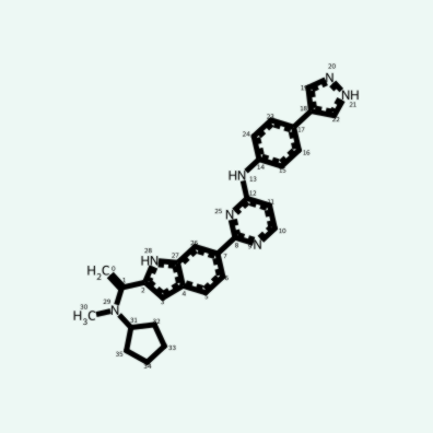 C=C(c1cc2ccc(-c3nccc(Nc4ccc(-c5cn[nH]c5)cc4)n3)cc2[nH]1)N(C)C1CCCC1